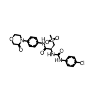 CS(=O)(=O)C[C@@H](NC(=O)Nc1ccc(Cl)cc1)C(=O)Nc1ccc(N2CCOCC2=O)cc1